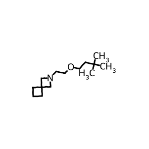 CC(C)(C)CCOCCN1CC2(CCC2)C1